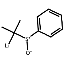 [Li][C](C)(C)[S+]([O-])c1ccccc1